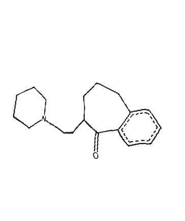 O=C1c2ccccc2CCCC1CN1CCCCC1